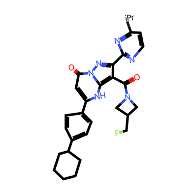 CC(C)c1ccnc(-c2nn3c(=O)cc(-c4ccc(C5CCCCC5)cc4)[nH]c3c2C(=O)N2CC(CF)C2)n1